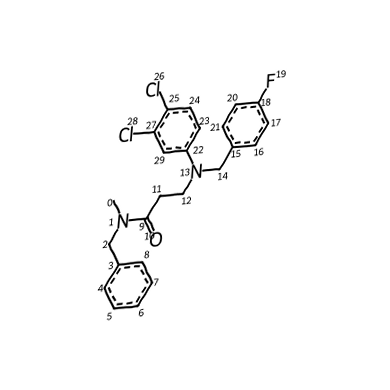 CN(Cc1ccccc1)C(=O)CCN(Cc1ccc(F)cc1)c1ccc(Cl)c(Cl)c1